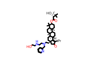 CC(C)C1=C2[C@H]3CCC4[C@@]5(C)CC[C@H](OC(=O)CC(C)(C)C(=O)O)C(C)(C)C5CC[C@@]4(C)[C@]3(C)CC[C@@]2(CCN(CCNCCO)Cc2ccccn2)CC1=O